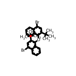 CC(C)(C)c1cc(Br)c2ccccc2c1Oc1c(C(C)(C)C)cc(Br)c2ccccc12